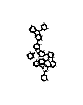 c1ccc(-c2nc(-c3ccccc3)nc(-c3cccc4c5cccc(-c6ccc7c(c6)c6cc(-c8ccc9c(c8)c8ccccc8n9-c8ccccc8)ccc6n7-c6ccccc6)c5n(-c5ccccc5)c34)n2)cc1